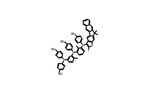 Cc1ccc(N(c2ccc(C(C)(C)C)cc2)c2ccc(C(C)(C)C)cc2)cc1N(c1ccc(C(C)(C)C)cc1)c1cccc(N(c2ccc(C(C)(C)C)cc2)c2c(I)sc3cc4c(cc23)-c2cc3ccccc3cc2C4(C)C)c1C